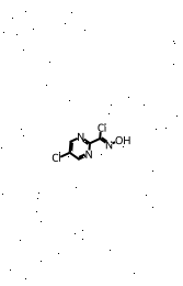 ON=C(Cl)c1ncc(Cl)cn1